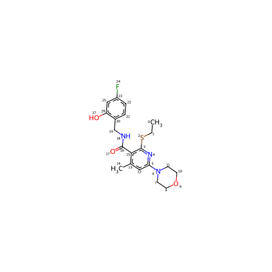 CCSc1nc(N2CCOCC2)cc(C)c1C(=O)NCc1ccc(F)cc1O